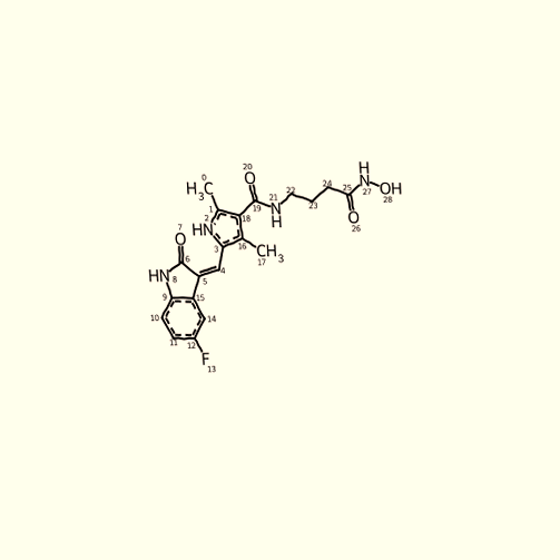 Cc1[nH]c(C=C2C(=O)Nc3ccc(F)cc32)c(C)c1C(=O)NCCCC(=O)NO